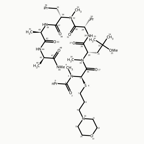 CCCC(=O)N(C)[C@H](SCCCN1CCOCC1)C(=O)N(C)[C@@H](CC(C)(C)OC)C(=O)N[C@H](C(=O)N(C)[C@@H](CC(C)C)C(=O)N[C@H](C)C(=O)N[C@H](C)C(=O)NC)C(C)C